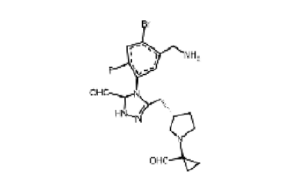 NCc1cc(N2C(C[C@@H]3CCN(C4(C=O)CC4)C3)=NNC2C=O)c(F)cc1Br